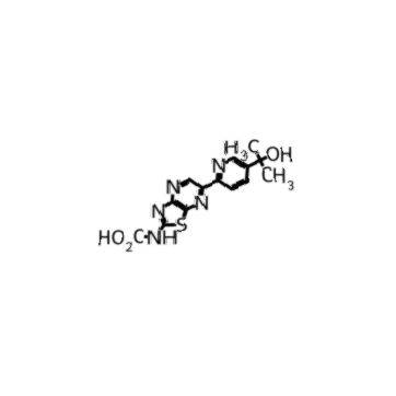 CC(C)(O)c1ccc(-c2cnc3nc(NC(=O)O)sc3n2)nc1